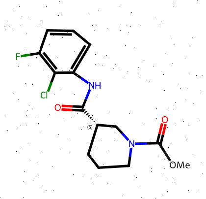 COC(=O)N1CCC[C@H](C(=O)Nc2cccc(F)c2Cl)C1